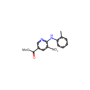 COC(=O)c1cnc(Nc2ccccc2C)c([N+](=O)[O-])c1